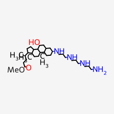 COC(=O)CC[C@@H](C)C1CCC2C3C(CC[C@@]21C)[C@@]1(C)CC[C@H](NCCCNCCCNCCCN)CC1C[C@H]3O